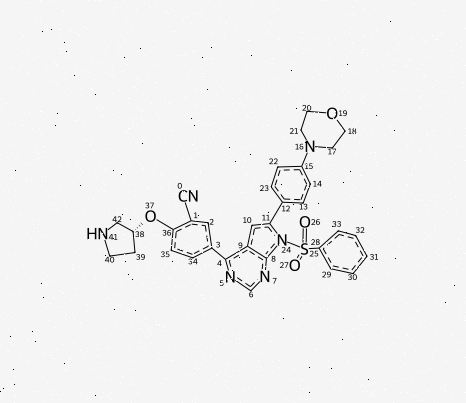 N#Cc1cc(-c2ncnc3c2cc(-c2ccc(N4CCOCC4)cc2)n3S(=O)(=O)c2ccccc2)ccc1O[C@@H]1CCNC1